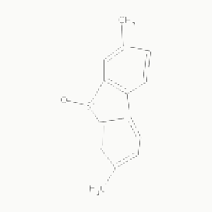 Cc1ccc2c3ccc(C)cc3[s+]([O-])c2c1